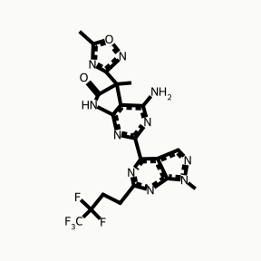 Cc1nc(C2(C)C(=O)Nc3nc(-c4nc(CCC(F)(F)C(F)(F)F)nc5c4cnn5C)nc(N)c32)no1